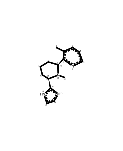 Cc1cccnc1[C@@H]1CCC[C@H](c2ncc[nH]2)N1C